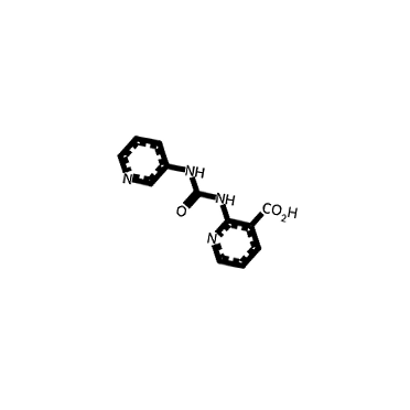 O=C(Nc1cccnc1)Nc1ncccc1C(=O)O